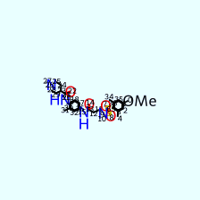 COc1cc(C)c(S(=O)(=O)N(C)CCC(=O)Nc2ccc(NC(=O)C3CCN(C)CC3)c(C)c2)c(C)c1